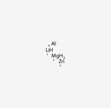 [Al].[LiH].[MgH2].[Zn]